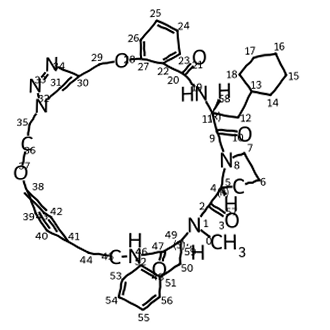 CN1C(=O)[C@H]2CCCN2C(=O)[C@@H](CC2CCCCC2)NC(=O)c2ccccc2OCc2cn(nn2)CCOc2ccc(cc2)CCNC(=O)[C@@H]1Cc1ccccc1